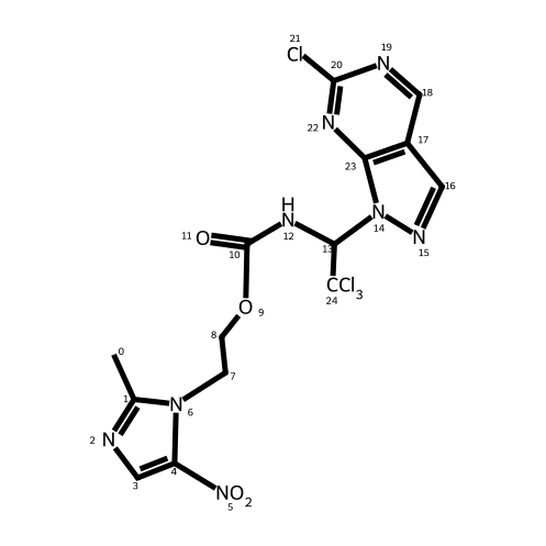 Cc1ncc([N+](=O)[O-])n1CCOC(=O)NC(n1ncc2cnc(Cl)nc21)C(Cl)(Cl)Cl